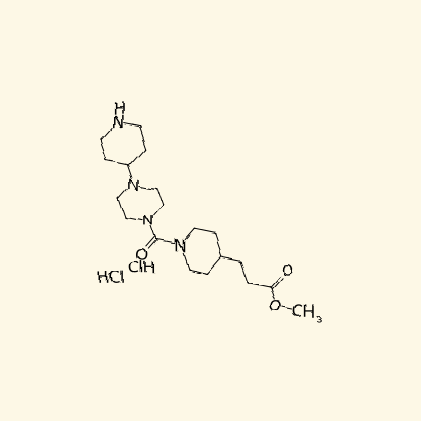 COC(=O)CCC1CCN(C(=O)N2CCN(C3CCNCC3)CC2)CC1.Cl.Cl